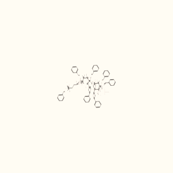 O=C(CCCO[C@@H]1OC(COCc2ccccc2)[C@@H](O[C@@H]2OC(COCc3ccccc3)[C@H](O)[C@@H](OCc3ccccc3)C2OCc2ccccc2)[C@@H](OCc2ccccc2)C1OCc1ccccc1)OCc1ccccc1